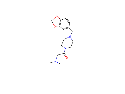 CN(C)CC(=O)N1CCN(Cc2ccc3c(c2)OCO3)CC1